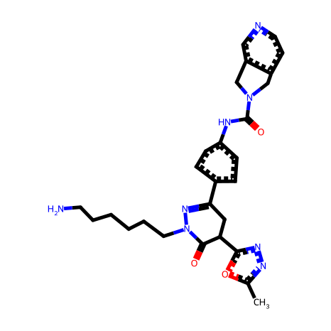 Cc1nnc(C2CC(c3ccc(NC(=O)N4Cc5ccncc5C4)cc3)=NN(CCCCCCN)C2=O)o1